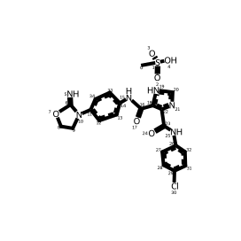 CS(=O)(=O)O.N=C1OCCN1c1ccc(NC(=O)c2[nH]cnc2C(=O)Nc2ccc(Cl)cc2)cc1